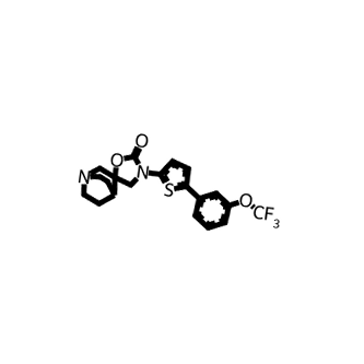 O=C1OC2(CN3CCC2CC3)CN1c1ccc(-c2cccc(OC(F)(F)F)c2)s1